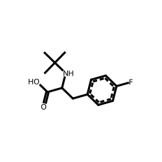 CC(C)(C)NC(Cc1ccc(F)cc1)C(=O)O